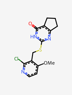 COc1ccnc(Cl)c1CSc1nc2c(c(=O)[nH]1)CCC2